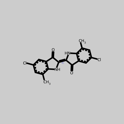 Cc1cc(Cl)cc2c1N/C(=C1/Nc3c(C)cc(Cl)cc3C1=O)C2=O